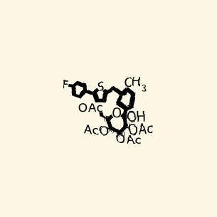 CC(=O)OC[C@H]1OC(O)(c2ccc(C)c(Cc3ccc(-c4ccc(F)cc4)s3)c2)[C@H](OC(C)=O)[C@@H](OC(C)=O)[C@@H]1OC(C)=O